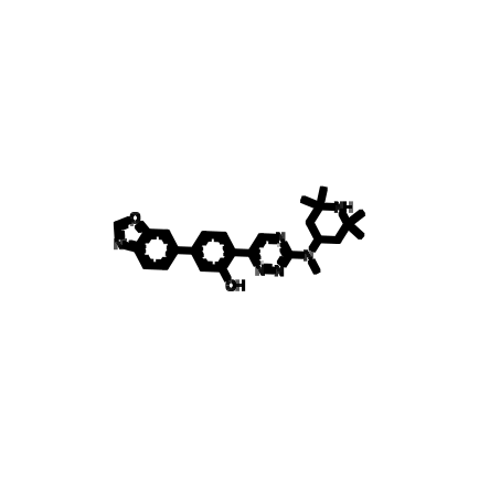 CN(c1ncc(-c2ccc(-c3ccc4ncoc4c3)cc2O)nn1)C1CC(C)(C)NC(C)(C)C1